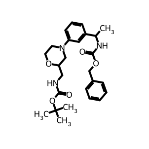 CC(NC(=O)OCc1ccccc1)c1cccc(N2CCOC(CNC(=O)OC(C)(C)C)C2)c1